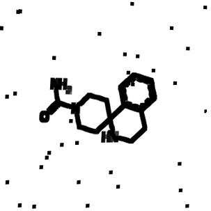 NC(=O)N1CCC2(CC1)NCCc1ccccc12